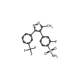 Cc1onc(-c2cccc(C(F)(F)F)c2)c1-c1ccc(S(N)(=O)=O)c(F)c1